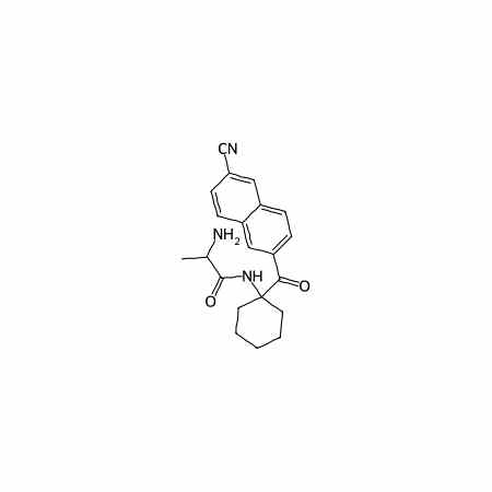 CC(N)C(=O)NC1(C(=O)c2ccc3cc(C#N)ccc3c2)CCCCC1